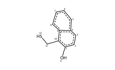 Oc1ccc2ccccc2c1CS